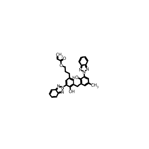 C=CC(=O)OCCCc1cc(Cc2cc(C)cc(-n3nc4ccccc4n3)c2O)c(O)c(-n2nc3ccccc3n2)c1